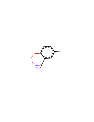 O=[N+]([O-])c1ccc2c(c1)C1ON1SO2